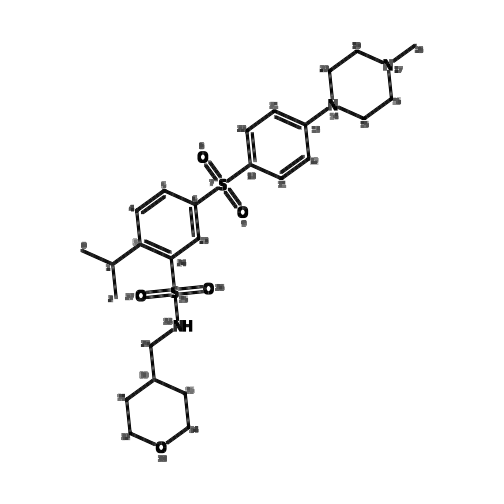 CC(C)c1ccc(S(=O)(=O)c2ccc(N3CCN(C)CC3)cc2)cc1S(=O)(=O)NCC1CCOCC1